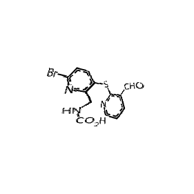 O=Cc1cccnc1Sc1ccc(Br)nc1CNC(=O)O